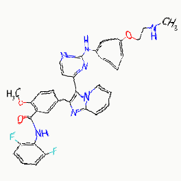 CNCCOc1cccc(Nc2nccc(-c3c(-c4ccc(OC)c(C(=O)Nc5c(F)cccc5F)c4)nc4ccccn34)n2)c1